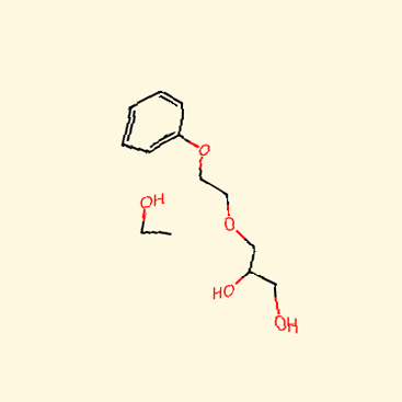 CCO.OCC(O)COCCOc1ccccc1